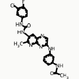 CC(=O)Nc1cccc(Nc2cnc3cc(NC(=O)Nc4ccc(F)c(Cl)c4)c(C)nc3n2)c1